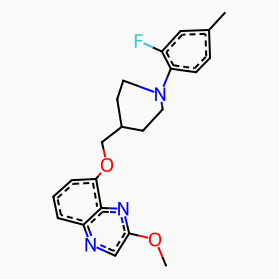 COc1cnc2cccc(OCC3CCN(c4ccc(C)cc4F)CC3)c2n1